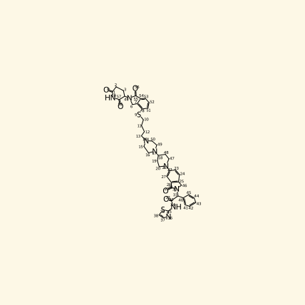 O=C1CCC(N2Cc3c(SCCCCN4CCN(C5CCN(c6ccc7c(c6)C(=O)N(C(C(=O)Nc6nccs6)c6ccccc6)C7)CC5)CC4)cccc3C2=O)C(=O)N1